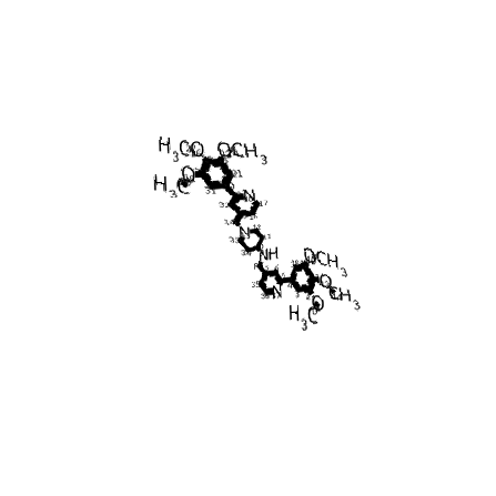 COc1cc(-c2cc(CNC3CCN(Cc4ccnc(-c5cc(OC)c(OC)c(OC)c5)c4)CC3)ccn2)cc(OC)c1OC